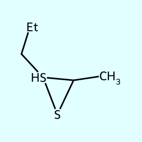 CCC[SH]1SC1C